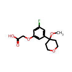 COC1(c2cc(F)cc(OCC(=O)O)c2)CCOCC1